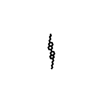 CC=CCCC1CCC2CC(C3CCc4cc(CCCCCC)ccc4C3)CCC2C1